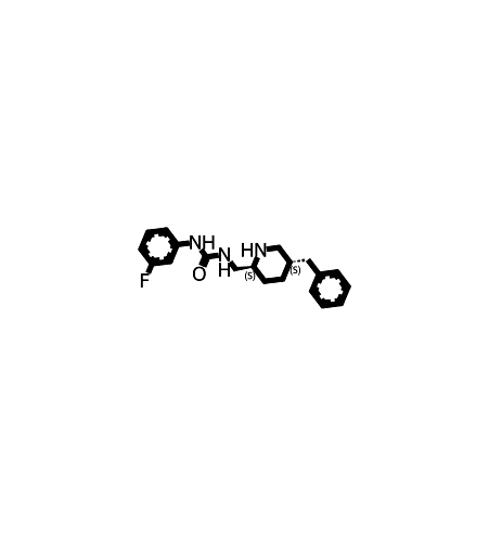 O=C(NC[C@@H]1CC[C@@H](Cc2ccccc2)CN1)Nc1cccc(F)c1